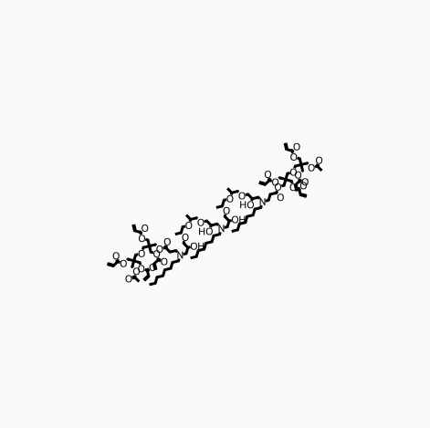 C=CC(=O)OCC(COCC(COC(=O)C=C)(COC(=O)C=C)COC(=O)CCN(CCCCCCCC)CC(O)COCC(C)OCC(C)OCC(O)CN(CCCCCCCC)CC(O)COCC(C)OCC(C)OCC(O)CN(CCCCCCCC)CCC(=O)OCC(COCC(COC(C)=O)(COC(=O)C=C)COC(=O)C=C)(COC(=O)C=C)COC(=O)C=C)(COC(C)=O)COC(=O)C=C